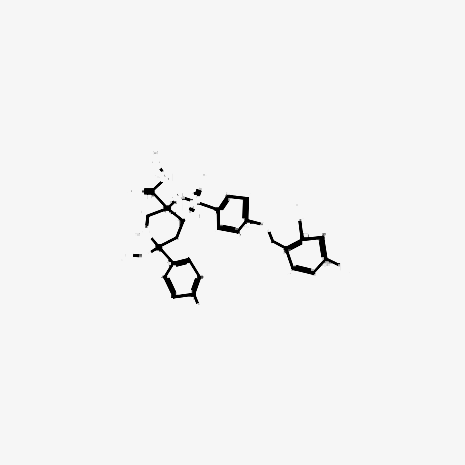 COC1(c2ccc(F)cc2)CCC(NS(=O)(=O)c2ccc(OCc3ccc(F)cc3Cl)cc2)(C(=O)NO)CO1